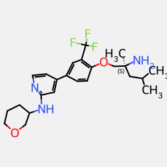 CC(C)C[C@](C)(N)COc1ccc(-c2ccnc(NC3CCCOC3)c2)cc1C(F)(F)F